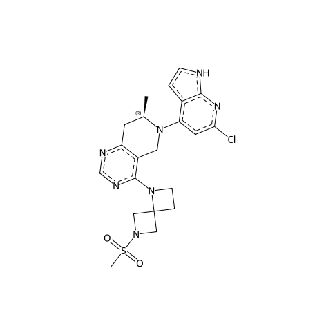 C[C@@H]1Cc2ncnc(N3CCC34CN(S(C)(=O)=O)C4)c2CN1c1cc(Cl)nc2[nH]ccc12